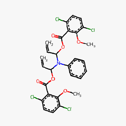 C=CC(OC(=O)c1c(Cl)ccc(Cl)c1OC)N(c1ccccc1)C(C=C)OC(=O)c1c(Cl)ccc(Cl)c1OC